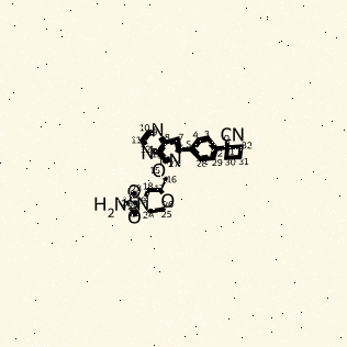 N#CC1(c2ccc(-c3cc4nccnc4c(OC[C@@H]4CN(S(N)(=O)=O)CCO4)n3)cc2)CCC1